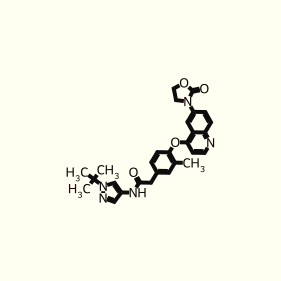 Cc1cc(CC(=O)Nc2cnn(C(C)(C)C)c2)ccc1Oc1ccnc2ccc(N3CCOC3=O)cc12